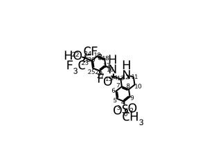 CS(=O)(=O)c1ccc2c(c1)CCNC2C(=O)Nc1ccc(C(O)(C(F)(F)F)C(F)(F)F)cc1F